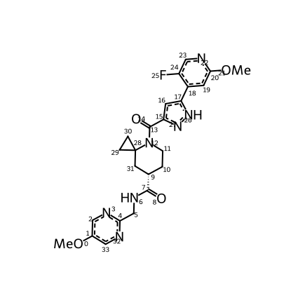 COc1cnc(CNC(=O)[C@H]2CCN(C(=O)c3cc(-c4cc(OC)ncc4F)[nH]n3)C3(CC3)C2)nc1